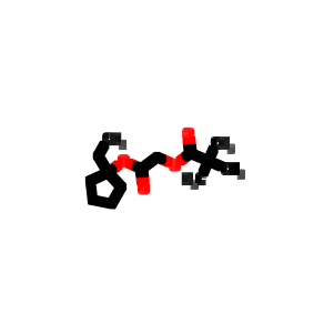 CCC1(OC(=O)COC(=O)C(C)(C)C)CCCC1